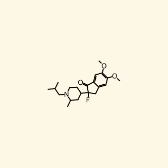 COc1cc2c(cc1OC)C(=O)C(F)(C1CCN(CC(C)C)C(C)C1)C2